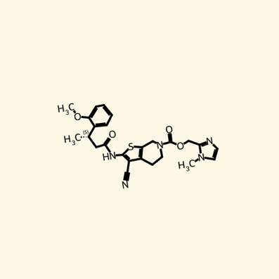 COc1ccccc1[C@@H](C)CC(=O)Nc1sc2c(c1C#N)CCN(C(=O)OCc1nccn1C)C2